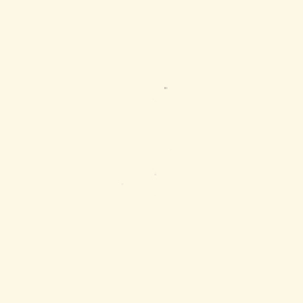 CCOC(=O)C(C#N)C(=O)C(C)Sc1ccc(Oc2ccc(Cl)cc2F)cc1